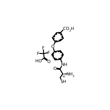 N[C@@H](CS)C(=O)Nc1ccc(Oc2ccc(C(=O)O)cc2)cc1.O=C(O)C(F)(F)F